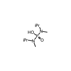 CC(C)N(C)P(=O)(O)N(C)C(C)C